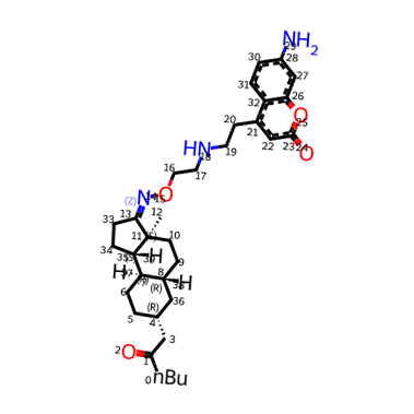 CCCCC(=O)C[C@@H]1CC[C@@H]2[C@H](CC[C@]3(C)/C(=N\OCCNCCc4cc(=O)oc5cc(N)ccc45)CC[C@@H]23)C1